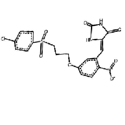 O=C1NC(=O)C(=Cc2cc(OCCCS(=O)(=O)c3ccc(Cl)cc3)ccc2[N+](=O)[O-])N1